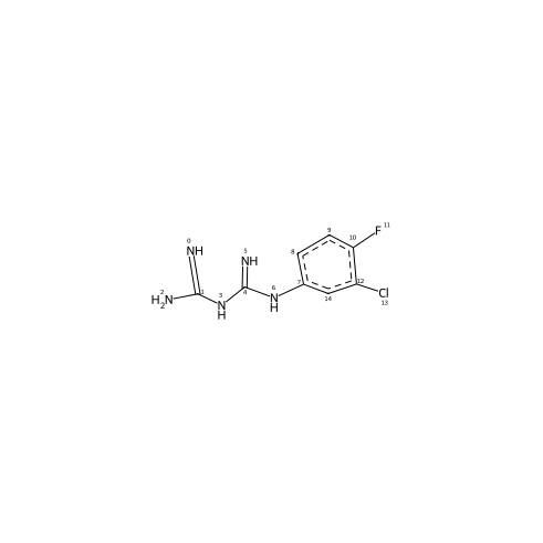 N=C(N)NC(=N)Nc1ccc(F)c(Cl)c1